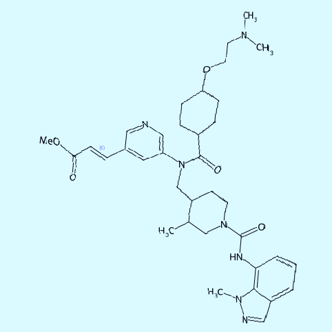 COC(=O)/C=C/c1cncc(N(CC2CCN(C(=O)Nc3cccc4cnn(C)c34)CC2C)C(=O)C2CCC(OCCN(C)C)CC2)c1